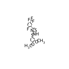 COc1ccc(SNc2nc(-c3cc(C(F)(F)F)ccc3F)cs2)cc1OC